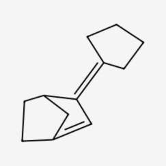 C1=C2CCC(C2)C1=C1CCCC1